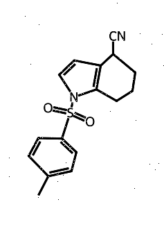 Cc1ccc(S(=O)(=O)n2ccc3c2CCCC3C#N)cc1